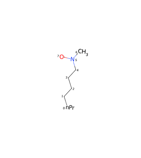 CCCCCCCN(C)[O]